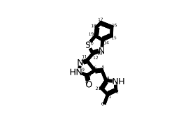 Cc1c[nH]c(C=C2C(=O)NN=C2c2nc3ccccc3s2)c1